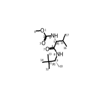 COC(=O)N[C@@H](C(=O)N[C@H](C)C(C)(C)C)C(C)C